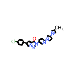 CC1CN(C2CCN(c3ccc(-n4cnn5cc(-c6ccc(Cl)cc6)cc5c4=O)cn3)C2)C1